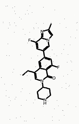 CCc1cn(C2CCNCC2)c(=O)c2c(F)cc(-c3cc(F)c4nc(C)cn4c3)cc12